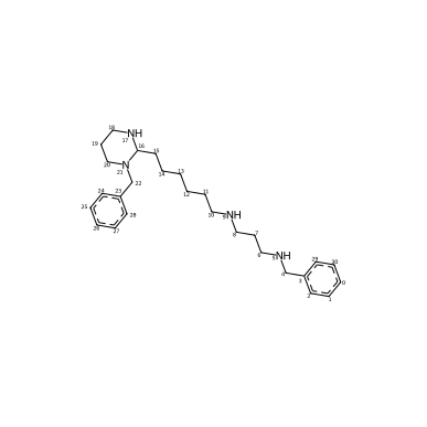 c1ccc(CNCCCNCCCCCCC2NCCCN2Cc2ccccc2)cc1